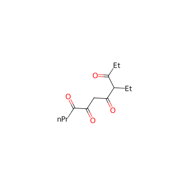 CCCC(=O)C(=O)CC(=O)C(CC)C(=O)CC